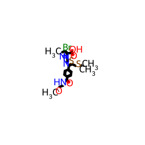 COCCNC(=O)c1ccc(-c2nc(-n3nc(C)c(Br)c3C(=O)O)sc2CSC(C)C)cc1